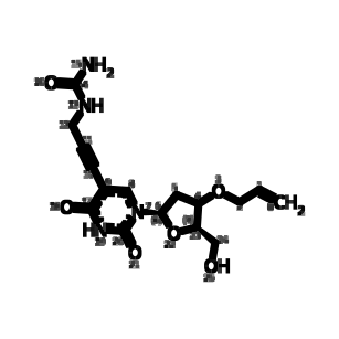 C=CCOC1C[C@H](n2cc(C#CCNC(N)=O)c(=O)[nH]c2=O)O[C@@H]1CO